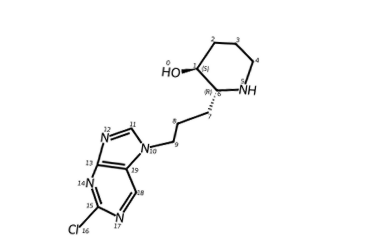 O[C@H]1CCCN[C@@H]1CCCn1cnc2nc(Cl)ncc21